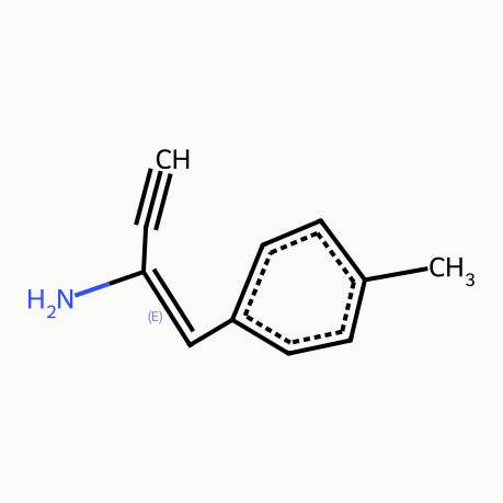 C#C/C(N)=C\c1ccc(C)cc1